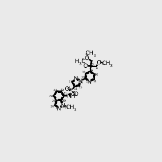 COCC(COC)(OC)c1ccnc(-n2cc(S(=O)(=O)Nc3cccc4cnn(C)c34)cn2)c1